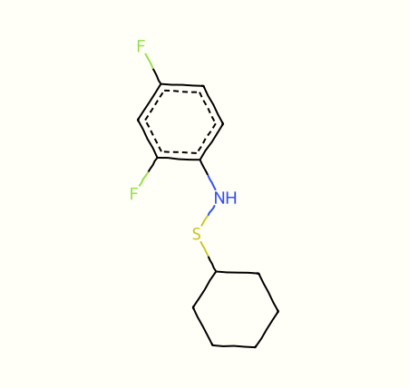 Fc1ccc(NSC2CCCCC2)c(F)c1